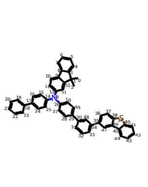 CC1(C)c2ccccc2-c2ccc(N(c3ccc(-c4ccccc4)cc3)c3ccc(-c4cccc(-c5ccc6sc7ccccc7c6c5)c4)cc3)cc21